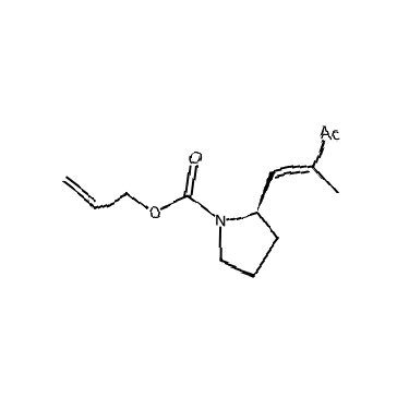 C=CCOC(=O)N1CCC[C@@H]1C=C(C)C(C)=O